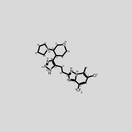 Cc1c(Cl)cc(C(F)(F)F)c2nc(CCc3[nH]nnc3C3CCOCC3N3CCCC3)nn12